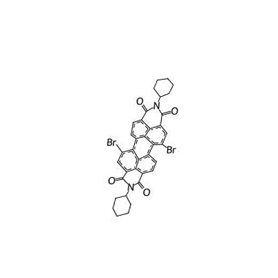 O=C1c2ccc3c4c(Br)cc5c6c(ccc(c7c(Br)cc(c2c37)C(=O)N1C1CCCCC1)c64)C(=O)N(C1CCCCC1)C5=O